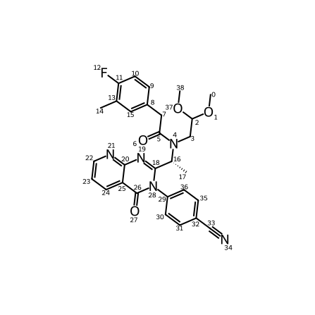 COC(CN(C(=O)Cc1ccc(F)c(C)c1)[C@H](C)c1nc2ncccc2c(=O)n1-c1ccc(C#N)cc1)OC